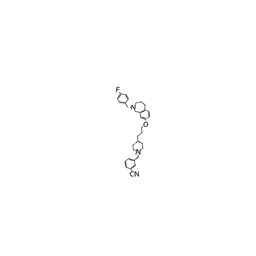 N#Cc1cccc(CN2CCC(CCCOc3ccc4c(c3)CN(Cc3ccc(F)cc3)CCC4)CC2)c1